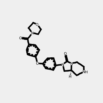 O=C(c1ccc(Oc2ccc(N3C[C@@H]4CNCCN4C3=O)cc2)cc1)N1CCOCC1